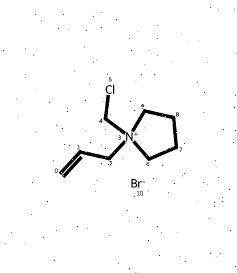 C=CC[N+]1(CCl)CCCC1.[Br-]